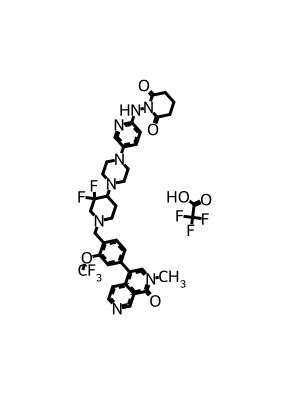 Cn1cc(-c2ccc(CN3CCC(N4CCN(c5ccc(NN6C(=O)CCCC6=O)nc5)CC4)C(F)(F)C3)c(OC(F)(F)F)c2)c2ccncc2c1=O.O=C(O)C(F)(F)F